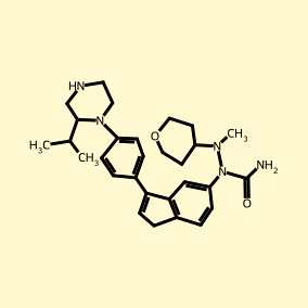 CC(C)C1CNCCN1c1ccc(C2=CCc3ccc(N(C(N)=O)N(C)C4CCOCC4)cc32)cc1